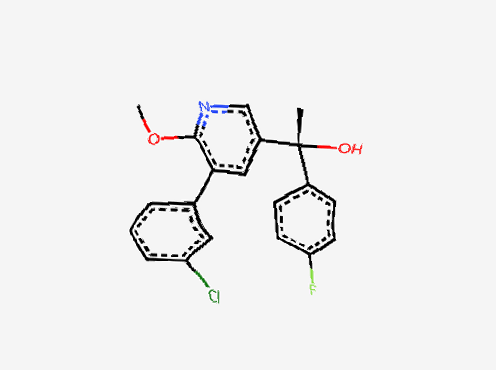 COc1ncc([C@](C)(O)c2ccc(F)cc2)cc1-c1cccc(Cl)c1